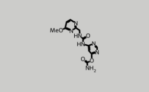 COc1ccnc(CNC(=O)Nc2cc(OC(N)=O)ncn2)n1